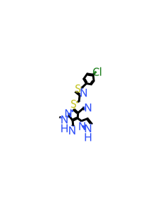 CNc1nc(SCc2csc(-c3ccc(Cl)cc3)n2)c(C#N)c(-c2cc[nH]n2)c1C#N